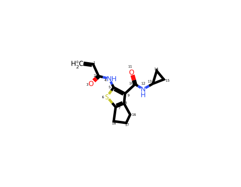 C=CC(=O)Nc1sc2c(c1C(=O)NC1CC1)CCC2